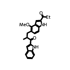 CCC(=O)c1cc2c(OC)c(CC(C)C(=O)c3cc4ccccc4[nH]3)ccc2[nH]1